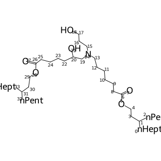 CCCCCCCC(CCCCC)CCOC(=O)CCCCCCN(CCCO)CC(O)CCCCC(=O)OCCC(CCCCC)CCCCCCC